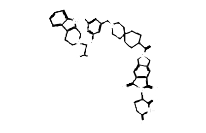 C[C@@H]1Cc2c([nH]c3ccccc23)[C@H](c2c(F)cc(CN3CCC4(CCC(C(=O)N5Cc6cc7c(cc6C5)C(=O)N(C5CCC(=O)NC5=O)C7=O)CC4)CC3)cc2F)N1CC(F)F